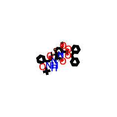 COC1=C(C(=O)OC(c2ccccc2)c2ccccc2)N2C(=O)[C@@H](NC(=O)C(NC(=O)C(C)(C)C)c3ccccc3)[C@@H]2SC1